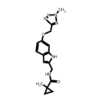 Cn1nnc(COc2ccc3cc(CNC(=O)C4(C)CC4)[nH]c3c2)n1